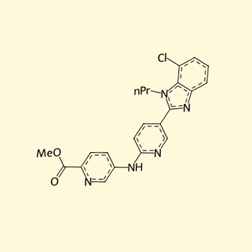 CCCn1c(-c2ccc(Nc3ccc(C(=O)OC)nc3)nc2)nc2cccc(Cl)c21